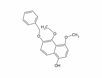 COc1ccc(O)c2ccc(OCc3ccccc3)c(OC)c12